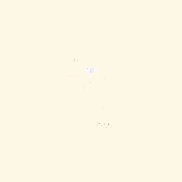 CCCC(=O)NC/C=C\c1cc(OC)ccc1F